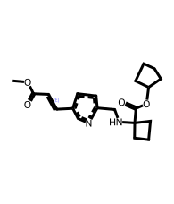 COC(=O)/C=C/c1ccc(CNC2(C(=O)OC3CCCC3)CCC2)nc1